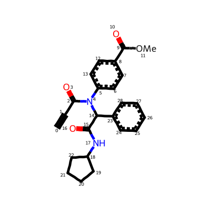 C#CC(=O)N(c1ccc(C(=O)OC)cc1)C(C(=O)NC1CCCC1)c1ccccc1